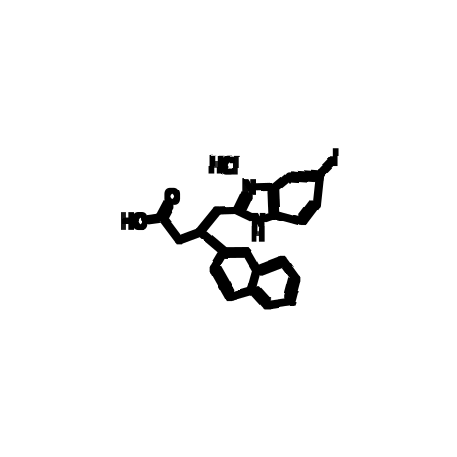 Cl.O=C(O)CC(Cc1nc2cc(I)ccc2[nH]1)c1ccc2ccccc2c1